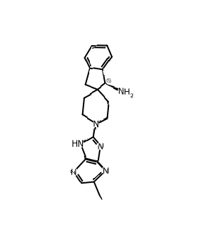 Cc1cnc2[nH]c(N3CCC4(CC3)Cc3ccccc3[C@H]4N)nc2n1